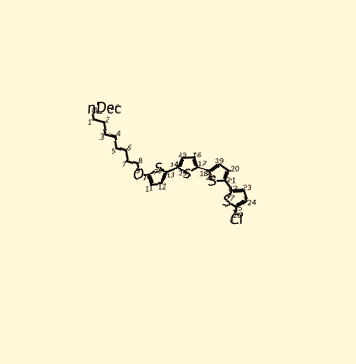 CCCCCCCCCCCCCCCCCCOc1ccc(-c2ccc(-c3ccc(-c4ccc(Cl)s4)s3)s2)s1